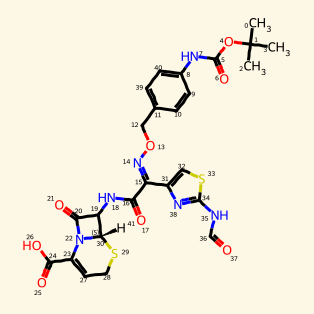 CC(C)(C)OC(=O)Nc1ccc(CON=C(C(=O)NC2C(=O)N3C(C(=O)O)=CCS[C@@H]23)c2csc(NC=O)n2)cc1